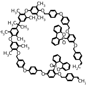 C=Cc1ccc(COc2ccc(OCc3ccc(Oc4ccc(COc5c(C)cc(Oc6c(C)cc(C(C)(C)c7cc(C)c(Oc8cc(C)c(OCc9ccc(Oc%10ccc(COc%11ccc(OCc%12ccc(C=C)cc%12)c(P%12(=O)Oc%13ccccc%13-c%13ccccc%13%12)c%11)cc%10)cc9)c(C)c8)c(C)c7)cc6C)cc5C)cc4)cc3)c(P3(=O)Oc4ccccc4-c4ccccc43)c2)cc1